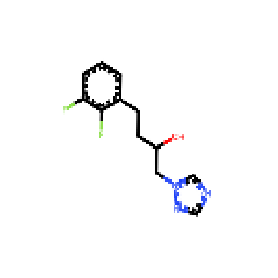 OC(CCc1cccc(F)c1F)Cn1cncn1